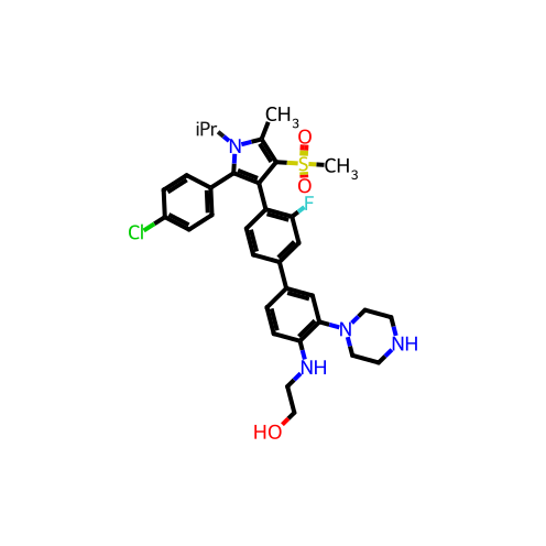 Cc1c(S(C)(=O)=O)c(-c2ccc(-c3ccc(NCCO)c(N4CCNCC4)c3)cc2F)c(-c2ccc(Cl)cc2)n1C(C)C